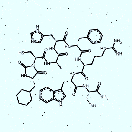 C[C@@H](NC(=O)[C@H](CS)N1C(=O)N[C@@H](CC2CCCCC2)C1=O)C(=O)N[C@@H](Cc1cnc[nH]1)C(=O)N[C@H](Cc1ccccc1)C(=O)N[C@@H](CCCNC(=N)N)C(=O)N[C@@H](Cc1c[nH]c2ccccc12)C(=O)N[C@@H](CS)C(N)=O